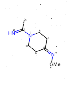 [CH2]C(=N)N1CCC(=NOC)CC1